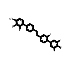 CCCc1ccc(-c2ccc(CCc3ccc(-c4cc(F)c(F)c(F)c4)c(F)c3)cc2)c(F)c1F